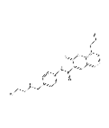 C=CCc1cccc2cc(C(=O)Nc3ccc(CNCCO)cc3)c(=O)oc12